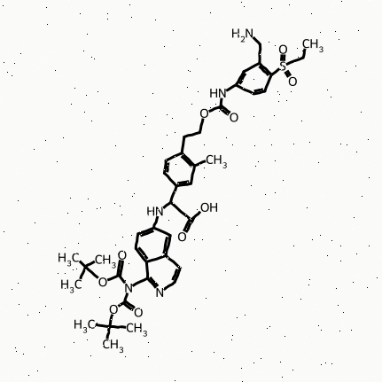 CCS(=O)(=O)c1ccc(NC(=O)OCCc2ccc(C(Nc3ccc4c(N(C(=O)OC(C)(C)C)C(=O)OC(C)(C)C)nccc4c3)C(=O)O)cc2C)cc1CN